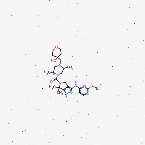 CCOc1ncc(F)c(Nc2n[nH]c3c2CN(C(=O)N2CC(C)N(CC4(O)CCOCC4)C[C@@H]2C)C3(C)C)n1